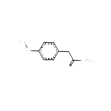 COC(=O)Cc1ccc(OC(C)(C)C)cc1